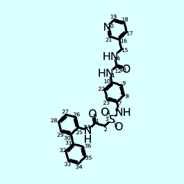 O=C(CS(=O)(=O)Nc1ccc(NC(=O)NCc2cccnc2)cc1)Nc1ccccc1-c1ccccc1